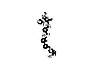 CCc1nc2c(cnn2CC)c(NC2CCOCC2)c1CNC(=O)c1cccc(C(=O)NCc2cccc(-c3cccc(CN4CCN(C(=O)O)[C@@](C)(C(C)(C)C)C4)c3)c2F)c1